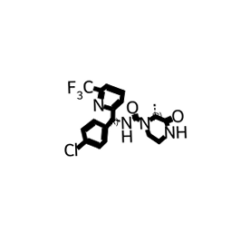 C[C@@H]1C(=O)NCCN1C(=O)N[C@H](c1ccc(Cl)cc1)c1cccc(C(F)(F)F)n1